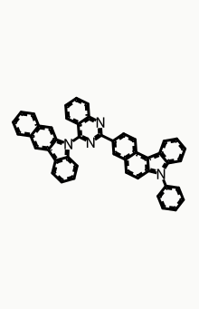 c1ccc(-n2c3ccccc3c3c4ccc(-c5nc(-n6c7ccccc7c7cc8ccccc8cc76)c6ccccc6n5)cc4ccc32)cc1